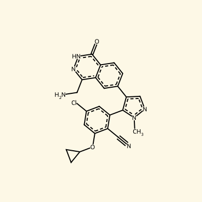 Cn1ncc(-c2ccc3c(=O)[nH]nc(CN)c3c2)c1-c1cc(Cl)cc(OC2CC2)c1C#N